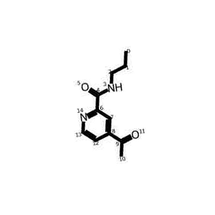 CCCNC(=O)c1cc(C(C)=O)ccn1